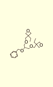 CCC1(COCC(COCC2(CC)COC2)OCc2ccccc2)COC1